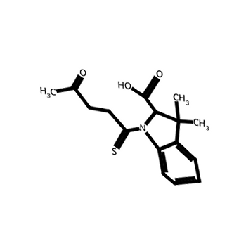 CC(=O)CCC(=S)N1c2ccccc2C(C)(C)C1C(=O)O